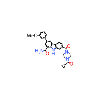 COc1cccc(-c2cc(C(N)=O)c3[nH]c4cc(C(=O)N5CCN(C(=O)C6CC6)CC5)ccc4c3c2)c1